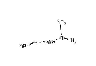 CCCCN[N+](C)C